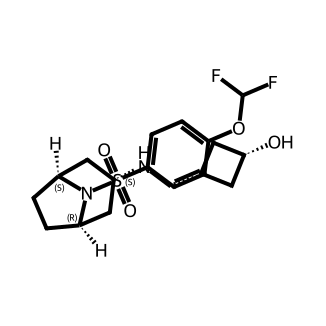 O=S(=O)(c1ccc(OC(F)F)cc1)N1[C@@H]2CC[C@H]1C[C@H](NC[C@H]1C[C@@H](O)C1)C2